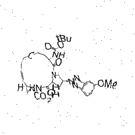 COc1ccc2nn([C@H]3C[C@H]4C(=O)N[C@]5(C(=O)O)C[C@H]5/C=C\CCCCC[C@H](NC(=O)OC(C)(C)C)C(=O)N4C3)nc2c1